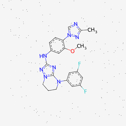 COc1cc(Nc2nc3n(n2)CCCN3c2cc(F)cc(F)c2)ccc1-n1cnc(C)n1